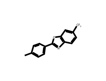 Cc1ccc(-c2nc3ccc(C(F)(F)F)cc3o2)cc1